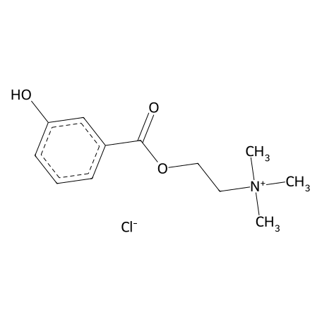 C[N+](C)(C)CCOC(=O)c1cccc(O)c1.[Cl-]